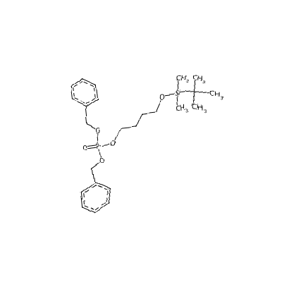 CC(C)(C)[Si](C)(C)OCCCCOP(=O)(OCc1ccccc1)OCc1ccccc1